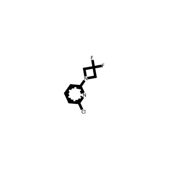 FC1(F)CN(c2cc[c]c(Cl)n2)C1